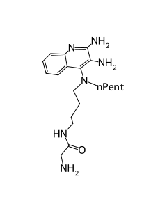 CCCCCN(CCCCNC(=O)CN)c1c(N)c(N)nc2ccccc12